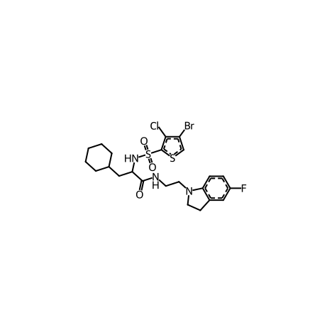 O=C(NCCN1CCc2cc(F)ccc21)C(CC1CCCCC1)NS(=O)(=O)c1scc(Br)c1Cl